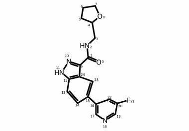 O=C(NCC1CCCO1)c1n[nH]c2ccc(-c3cncc(F)c3)cc12